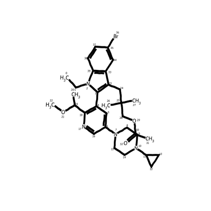 CCn1c(-c2cc(N3CCN(C4CC4)CC3)cnc2C(C)OC)c(CC(C)(C)COC(C)=O)c2cc(Br)ccc21